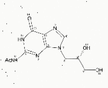 CC(=O)Nc1nc2c(ncn2C[C@H](O)CO)c(=O)[nH]1